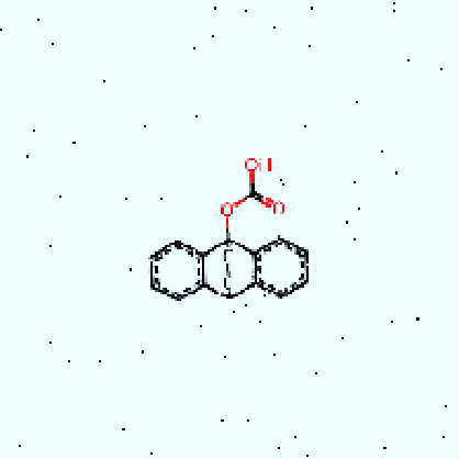 O=C(O)OC12CCC(c3ccccc31)c1ccccc12